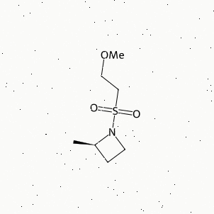 COCCS(=O)(=O)N1CC[C@H]1C